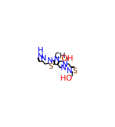 Cn1c2c(c3sc(Cc4cc[nH]n4)nc31)C=NN(Cc1csc(CO)n1)C2O